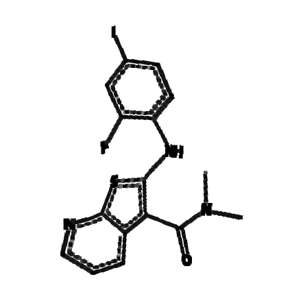 CN(C)C(=O)c1c(Nc2ccc(I)cc2F)sc2ncccc12